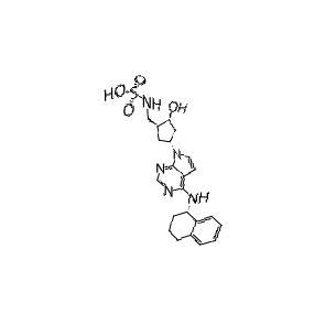 O=S(=O)(O)NC[C@@H]1C[C@@H](n2ccc3c(N[C@H]4CCCc5ccccc54)ncnc32)C[C@@H]1O